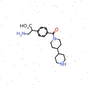 NCC(C(=O)O)c1ccc(C(=O)N2CCC(C3CCNCC3)CC2)cc1